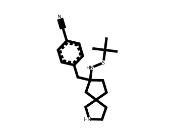 CC(C)(C)SNC1(Cc2ccc(C#N)cc2)CCC2(CCNC2)C1